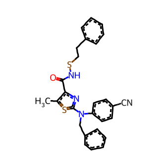 Cc1sc(N(Cc2ccccc2)c2ccc(C#N)cc2)nc1C(=O)NSCCc1ccccc1